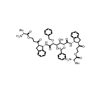 CC[C@H](C)[C@H](N)C(=O)OCCC(=O)[C@@H]1Cc2ccccc2[C@H]1NC(=O)[C@H](OCc1ccccc1)[C@H](O)[C@@H](O)[C@@H](OCc1ccccc1)C(=O)N[C@@H]1c2ccccc2C[C@H]1C(=O)CCOC(=O)[C@@H](N)[C@@H](C)CC